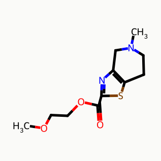 COCCOC(=O)c1nc2c(s1)CCN(C)C2